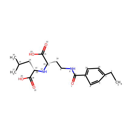 CCc1ccc(C(=O)NCC[C@H](N[C@@H](CC(C)C)C(=O)O)C(=O)O)cc1